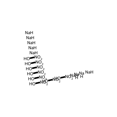 O=[N+]([O-])O.O=[N+]([O-])O.O=[N+]([O-])O.O=[N+]([O-])O.O=[N+]([O-])O.O=[N+]([O-])O.O=[N+]([O-])O.O=[N+]([O-])O.[NaH].[NaH].[NaH].[NaH].[NaH].[NaH].[NaH].[NaH].[NaH]